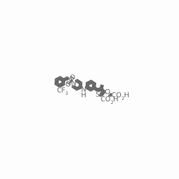 Cc1c(-c2cccc(NC3CCN(S(=O)(=O)Cc4cccc(C(F)(F)F)c4)CC3)c2)sc(C(=O)O)c1OCC(=O)O